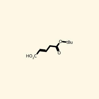 CC(C)(C)OC(=O)C/C=C/C(=O)O